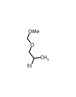 CCC(C)COCOC